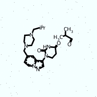 CC(C)C=O.CC(C)CN1CCN(Cc2ccn3ncc(N4CCC(=O)NC4=O)c3c2)CC1